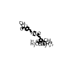 CCOC(=O)c1ccc(CCN2CCN(C(=O)C=Cc3cc(C(C)(C)C)c(O)c(C(C)(C)C)c3)CC2)cc1